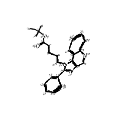 CC(C)(C)NC(=O)CCCCn1c(-c2ccccc2)nc2cnc3ccccc3c21